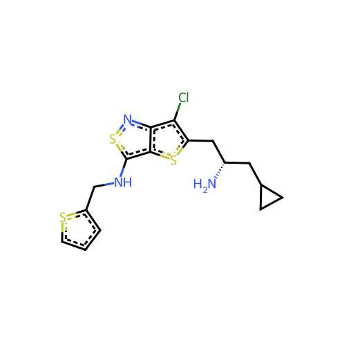 N[C@H](Cc1sc2c(NCc3cccs3)snc2c1Cl)CC1CC1